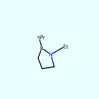 CCCB1CCCN1CC